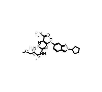 COC[C@H](N)[C@@H](C)Nc1nnc(C(N)=O)c(Nc2ccc3cn(C4CCCC4)nc3c2)n1